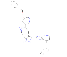 Oc1cc(F)cc(-c2ccnc3[nH]c(-c4n[nH]c5cnc(-c6cncc(OCc7ccccc7)c6)cc45)nc23)c1